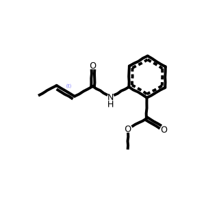 C/C=C/C(=O)Nc1ccccc1C(=O)OC